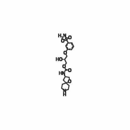 NS(=O)(=O)c1cccc(OCC(O)COC(=O)N[C@H]2COC3(CCNCC3)C2)c1